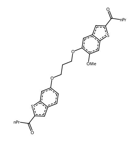 CCCC(=O)c1cc2ccc(OCCCOc3cc4cc(C(=O)CCC)sc4cc3OC)cc2s1